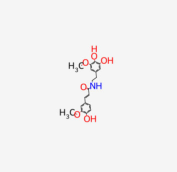 COc1cc(/C=C/C(=O)NCCc2cc(O)c(O)c(OC)c2)ccc1O